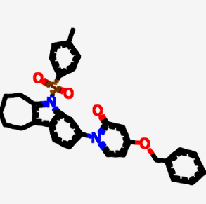 Cc1ccc(S(=O)(=O)n2c3c(c4ccc(-n5ccc(OCc6ccccc6)cc5=O)cc42)CCCCC3)cc1